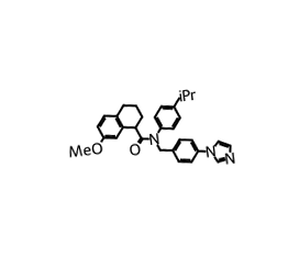 COc1ccc2c(c1)C(C(=O)N(Cc1ccc(-n3ccnc3)cc1)c1ccc(C(C)C)cc1)CCC2